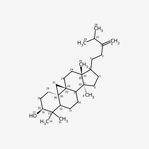 C=C(CCC1CC[C@@]2(C)C3CCC4C(C)(C)[C@@H](O)CC[C@@]45C[C@@]35CC[C@]12C)C(C)C